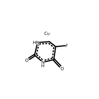 O=c1[nH]cc(F)c(=O)[nH]1.[Cu]